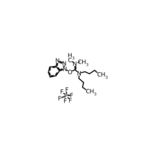 CCCCN(CCCC)C(On1nnc2ccccc21)=[N+](C)C.F[P-](F)(F)(F)(F)F